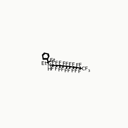 CCC(CC)(NC(F)(F)C(F)(F)C(F)(F)C(F)(F)C(F)(F)C(F)(F)C(F)(F)C(F)(F)C(F)(F)C(F)(F)F)c1ccccc1